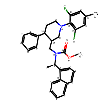 C[C@H](c1cccc2ccccc12)N(CC1CN(c2c(F)cc(C#N)cc2F)CCC1c1ccccc1)C(=O)OC(C)(C)C